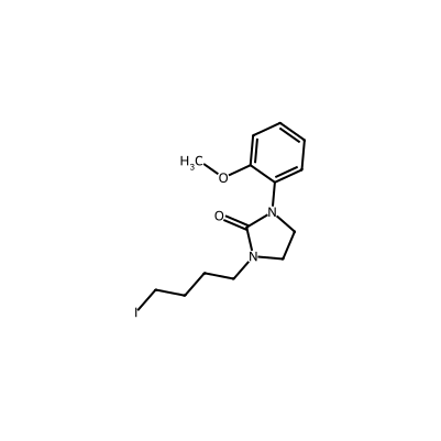 COc1ccccc1N1CCN(CCCCI)C1=O